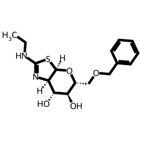 CCNC1=N[C@@H]2[C@@H](O)[C@H](O)[C@@H](COCc3ccccc3)O[C@@H]2S1